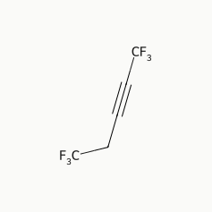 FC(F)(F)C#CCC(F)(F)F